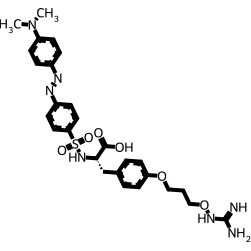 CN(C)c1ccc(/N=N/c2ccc(S(=O)(=O)N[C@@H](Cc3ccc(OCCCONC(=N)N)cc3)C(=O)O)cc2)cc1